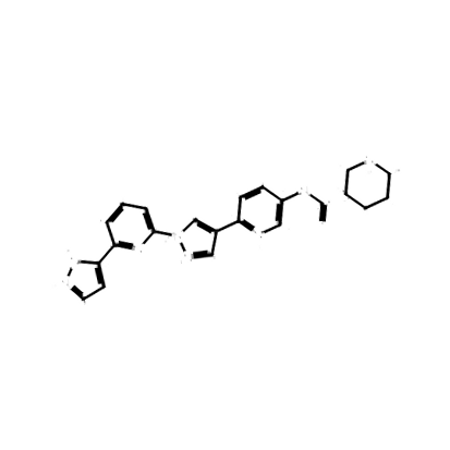 O=C(Nc1ccc(-c2cnn(-c3cccc(-c4ccn[nH]4)n3)c2)nc1)[C@H]1CCCNC1